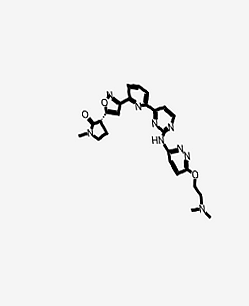 CN(C)CCOc1ccc(Nc2nccc(-c3cccc(-c4cc([C@@H]5CCN(C)C5=O)on4)n3)n2)nn1